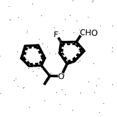 CC(Oc1ccc(C=O)c(F)c1)c1ccccc1